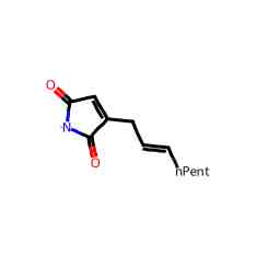 CCCCCC=CCC1=CC(=O)[N]C1=O